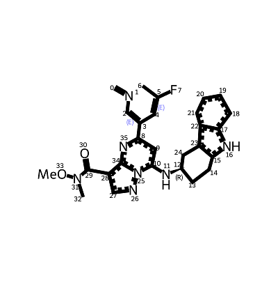 C=N/C=C(\C=C(/C)F)c1cc(N[C@@H]2CCc3[nH]c4ccccc4c3C2)n2ncc(C(=O)N(C)OC)c2n1